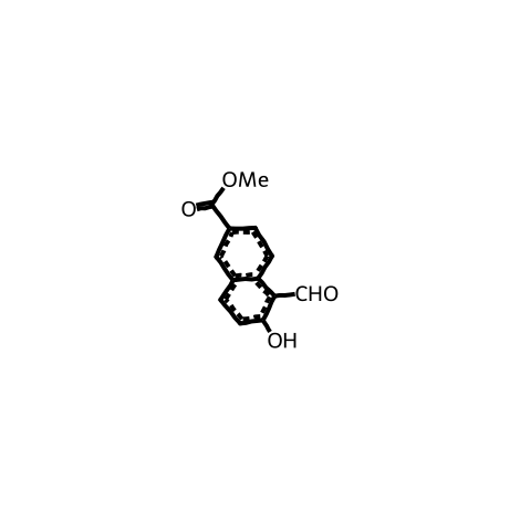 COC(=O)c1ccc2c(C=O)c(O)ccc2c1